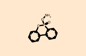 NOP1(=O)Oc2ccccc2-c2ccccc21